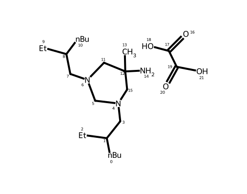 CCCCC(CC)CN1CN(CC(CC)CCCC)CC(C)(N)C1.O=C(O)C(=O)O